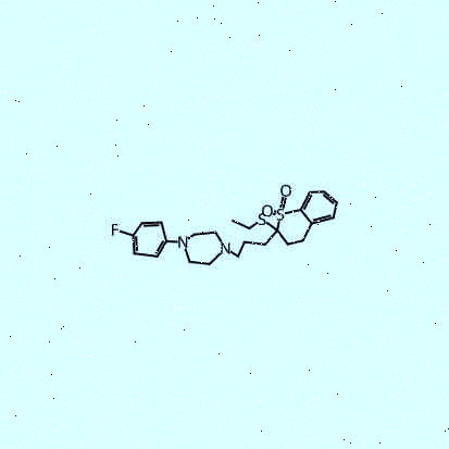 CCSC1(CCCN2CCN(c3ccc(F)cc3)CC2)CCc2ccccc2S1(=O)=O